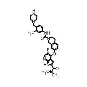 CN(C)C(=O)c1cc2c(Oc3ccc4c(c3)CN(C(=O)Nc3ccc(CN5CCNCC5)c(C(F)(F)F)c3)CC4)c(F)cnc2[nH]1